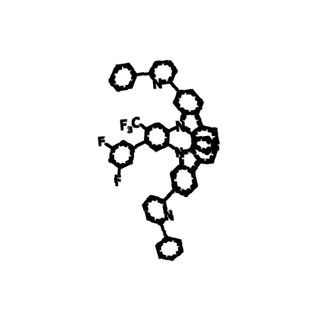 Fc1cc(F)cc(-c2cc(-n3c4ccccc4c4ccc(-c5cccc(-c6ccccc6)n5)cc43)c(-n3c4ccccc4c4ccc(-c5cccc(-c6ccccc6)n5)cc43)cc2C(F)(F)F)c1